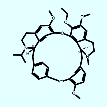 CCOc1c(OC)cc2c3c1Oc1cc4c(cc1OC)CCN(C(C)C)[C@H]4Cc1ccc(cc1)Oc1cc(ccc1OC)C[C@@H]3N(C)CC2